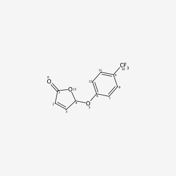 O=C1C=CC(Oc2ccc(C(F)(F)F)cc2)O1